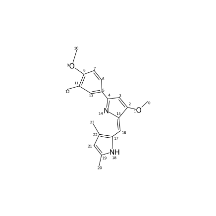 COC1=CC(c2ccc(OC)c(C)c2)=N/C1=C\c1[nH]c(C)cc1C